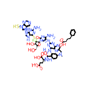 CN(Cc1cnc2nc(N)nc(N)c2n1)c1ccc(C(=O)N[C@@H](CCC(=O)O)C(=O)O)cc1.Nc1ccn([C@@H]2O[C@H](CO)[C@@H](O)C2(F)F)c(=O)n1.Nc1nc(=S)c2[nH]cnc2[nH]1.O=C(O)CCCc1ccccc1.Sn1cnc2cncnc21